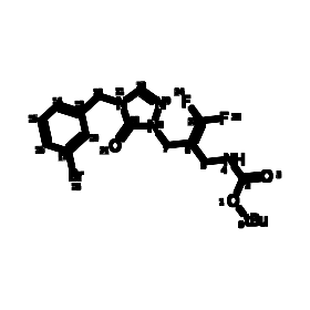 CC(C)(C)OC(=O)NCC(Cn1ncn(Cc2cccc(Br)c2)c1=O)=C(F)F